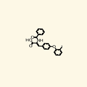 O=C(O)C(=Cc1ccc(Oc2ccccc2I)cc1)NC(=O)c1ccccc1